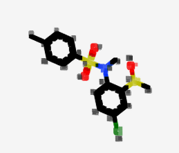 Cc1ccc(S(=O)(=O)N(C)c2ccc(Cl)cc2[S+](C)[O-])cc1